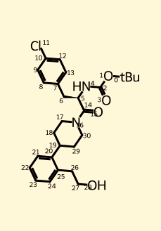 CC(C)(C)OC(=O)N[C@H](Cc1ccc(Cl)cc1)C(=O)N1CCC(c2ccccc2CCO)CC1